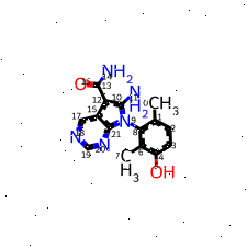 Cc1ccc(O)c(C)c1-n1c(N)c(C(N)=O)c2cncnc21